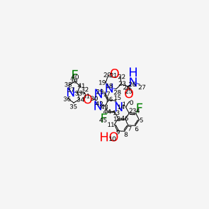 CCc1c(F)ccc2cc(O)cc(-c3ncc4c(N5CCOCC(C(=O)NC)C5)nc(OC[C@@]56CCCN5CC(F)C6)nc4c3F)c12